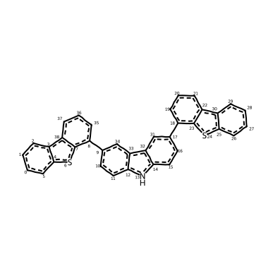 c1ccc2c(c1)sc1c(-c3ccc4[nH]c5ccc(-c6cccc7c6sc6ccccc67)cc5c4c3)cccc12